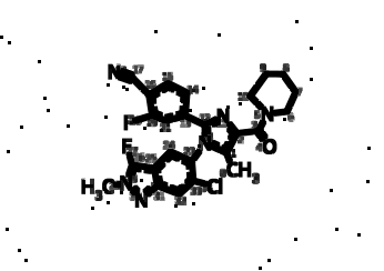 Cc1c(C(=O)N2CCCCC2)nc(-c2ccc(C#N)c(F)c2)n1-c1cc2c(F)n(C)nc2cc1Cl